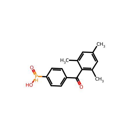 Cc1cc(C)c(C(=O)c2ccc([PH](=O)O)cc2)c(C)c1